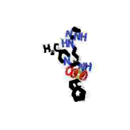 CC1CCN(C(=O)[C@H](CCCNc2ncc[nH]2)NS(=O)(=O)c2ccc3ccccc3c2)CC1